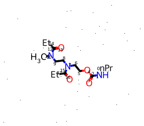 CCCNC(=O)OCCN(CCN(C)C(=O)CC)C(=O)CC